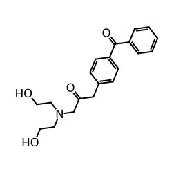 O=C(Cc1ccc(C(=O)c2ccccc2)cc1)CN(CCO)CCO